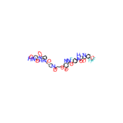 COc1cc2c(Oc3ccc(NC(=O)c4c(C)n(C)c5ccc(OC(F)(F)F)cc5c4=O)cc3F)ncnc2cc1OCCCC(=O)N1CCC(CC(=O)Nc2cccc3c2CN(C2CCC(=O)NC2=O)C3=O)CC1